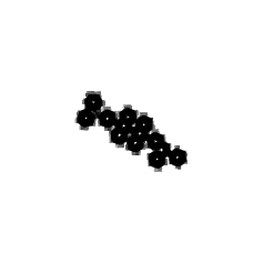 C(=C(c1ccccc1)c1ccccc1)c1ccc(-c2c3ccccc3c(-c3c4ccccc4c(-c4ccc(-n5c6ccccc6c6ccccc65)cc4)c4ccccc34)c3ccccc23)cc1